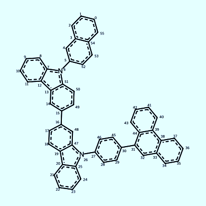 c1ccc2cc(-n3c4ccccc4c4cc(-c5ccc6c7ccccc7n(-c7ccc(-c8cc9ccccc9c9ccccc89)cc7)c6c5)ccc43)ccc2c1